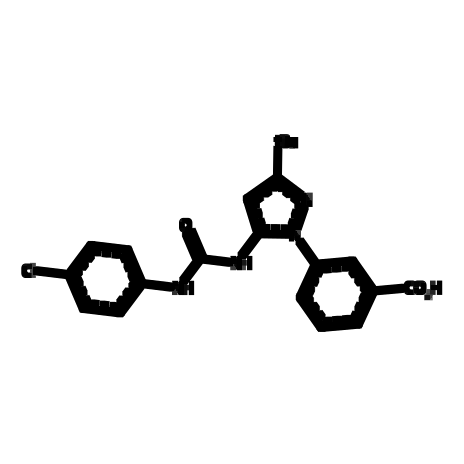 CC(C)(C)c1cc(NC(=O)Nc2ccc(Cl)cc2)n(-c2cccc(C(=O)O)c2)n1